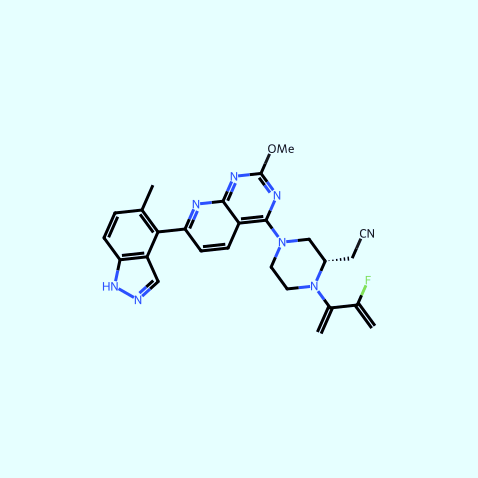 C=C(F)C(=C)N1CCN(c2nc(OC)nc3nc(-c4c(C)ccc5[nH]ncc45)ccc23)C[C@@H]1CC#N